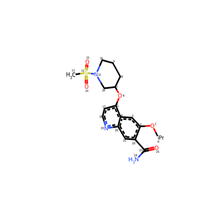 CC(C)Oc1cc2c(OC3CCCN(S(C)(=O)=O)C3)ccnc2cc1C(N)=O